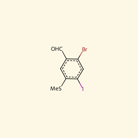 CSc1cc(C=O)c(Br)cc1I